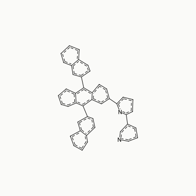 c1cncc(-c2cccc(-c3ccc4c(-c5ccc6ccccc6c5)c5ccccc5c(-c5ccc6ccccc6c5)c4c3)n2)c1